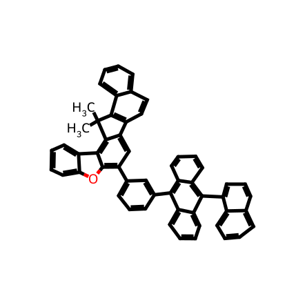 CC1(C)c2c(ccc3ccccc23)-c2cc(-c3cccc(-c4c5ccccc5c(-c5cccc6ccccc56)c5ccccc45)c3)c3oc4ccccc4c3c21